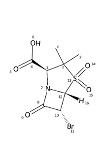 CC1(C)[C@H](C(=O)O)N2C(=O)[C@@H](Br)[C@H]2S1(=O)=O